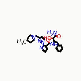 CC1CCN(Cc2ccn(-c3ncccc3C(=O)NC(Cc3ccccc3)C(O)C(N)=O)n2)CC1